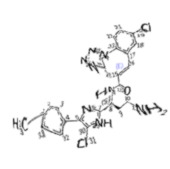 Cc1ccc(-c2nc([C@H](CCN)NC(=O)/C=C/c3cc(Cl)ccc3-n3cnnn3)[nH]c2Cl)cc1